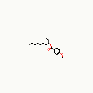 CCCCCCCC(CCC)OC(=O)c1ccc(OC)cc1